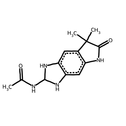 CC(=O)NC1Nc2cc3c(cc2N1)C(C)(C)C(=O)N3